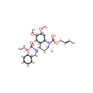 CC=CCOC(=O)N1c2cc(OC)c(OC)cc2[C@@H](N(Cc2ccccc2)C(=O)OCC)C[C@H]1C